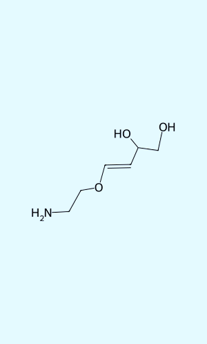 NCCOC=CC(O)CO